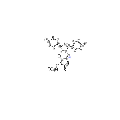 O=C(O)CN1C(=O)/C(=C\c2cn(-c3ccc(F)cc3)nc2-c2ccc(F)cc2)SC1=S